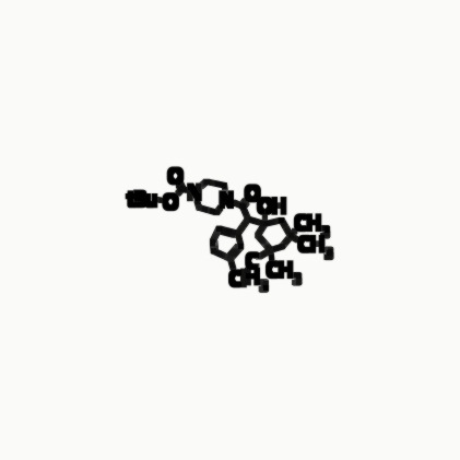 CC1(C)CC(C)(C)CC(O)(C(C(=O)N2CCN(C(=O)OC(C)(C)C)CC2)c2cccc(Cl)c2)C1